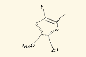 COc1cc(F)c(C)nc1Cl